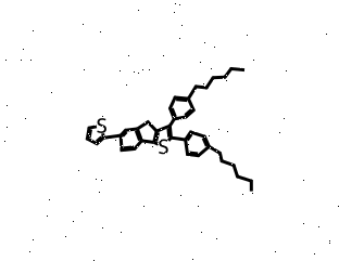 CCCCCCc1ccc(-c2sc3c(c2-c2ccc(CCCCCC)cc2)Cc2cc(-c4cccs4)ccc2-3)cc1